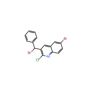 Clc1nc2ccc(Br)cc2cc1C(Br)c1ccccc1